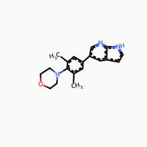 Cc1cc(-c2cnc3[nH]ccc3c2)cc(C)c1N1CCOCC1